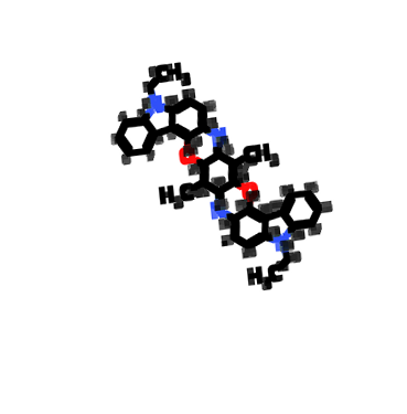 CCn1c2ccccc2c2c3c(ccc21)N=c1c(C)c2c(c(C)c1O3)=Nc1ccc3c(c1O2)c1ccccc1n3CC